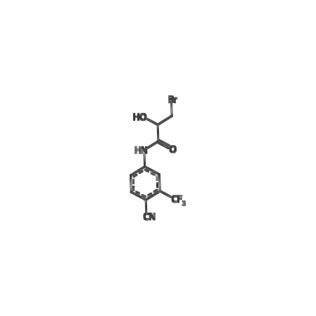 N#Cc1ccc(NC(=O)C(O)CBr)cc1C(F)(F)F